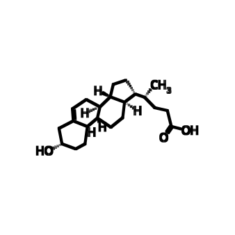 C[C@H](CCC(=O)O)[C@H]1CC[C@@H]2[C@@H]1CC[C@H]1[C@H]2CC=C2C[C@@H](O)CC[C@@H]21